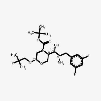 CC(C)(F)CO[C@H]1CN(C(=O)OC(C)(C)C)[C@@H]([C@@H](O)[C@@H](N)Cc2cc(F)cc(F)c2)CO1